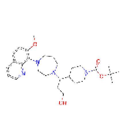 COc1ccc2cccnc2c1N1CCCN(C(CCO)C2CCN(C(=O)OC(C)(C)C)CC2)CC1